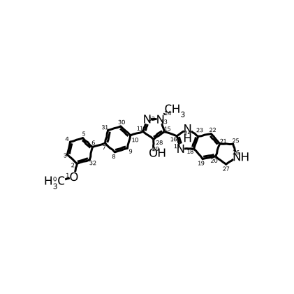 COc1cccc(-c2ccc(-c3nn(C)c(-c4nc5cc6c(cc5[nH]4)CNC6)c3O)cc2)c1